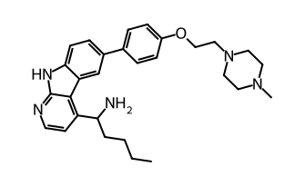 CCCCC(N)c1ccnc2[nH]c3ccc(-c4ccc(OCCN5CCN(C)CC5)cc4)cc3c12